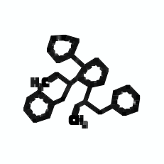 C=CC(Cc1ccccc1)c1cccc(-c2ccccc2)c1C(C=C)Cc1ccccc1